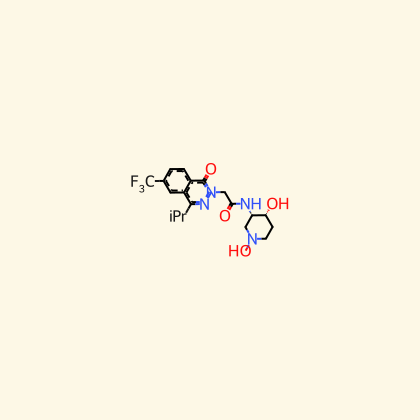 CC(C)c1nn(CC(=O)N[C@H]2CN(O)CC[C@H]2O)c(=O)c2ccc(C(F)(F)F)cc12